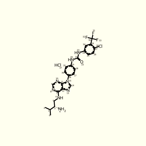 CC(C)[C@@H](N)CNc1ncnc2c1ncn2-c1ccc(NC(=O)Nc2ccc(Cl)c(C(F)(F)F)c2)cc1.Cl